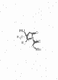 C[C@@H]1N(C(=O)OC(C)(C)C)C(=O)C[C@]1(C)O